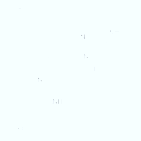 Cn1c([S+](C)[O-])nc(-c2ccc(F)cc2)c1-c1ccnc(NC2CCOCC2)c1